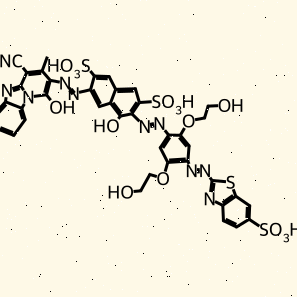 Cc1c(N=Nc2cc3c(O)c(N=Nc4cc(OCCO)c(N=Nc5nc6ccc(S(=O)(=O)O)cc6s5)cc4OCCO)c(S(=O)(=O)O)cc3cc2S(=O)(=O)O)c(O)n2c(nc3ccccc32)c1C#N